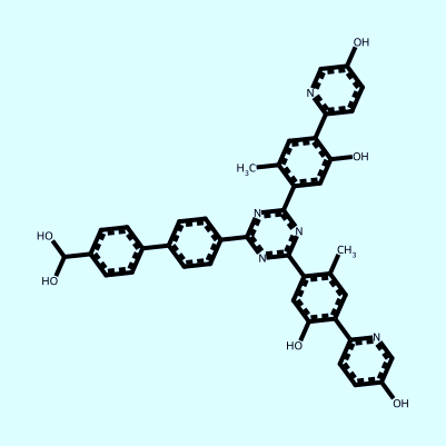 Cc1cc(-c2ccc(O)cn2)c(O)cc1-c1nc(-c2ccc(-c3ccc(C(O)O)cc3)cc2)nc(-c2cc(O)c(-c3ccc(O)cn3)cc2C)n1